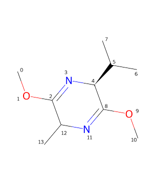 COC1=N[C@@H](C(C)C)C(OC)=NC1C